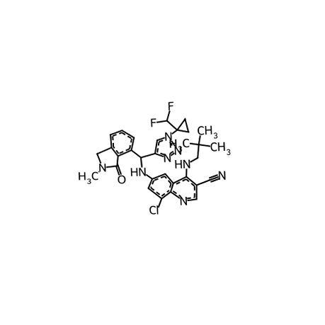 CN1Cc2cccc(C(Nc3cc(Cl)c4ncc(C#N)c(NCC(C)(C)C)c4c3)c3cn(C4(C(F)F)CC4)nn3)c2C1=O